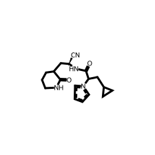 N#C[C@H](CC1CCCNC1=O)NC(=O)C(CC1CC1)n1cccc1